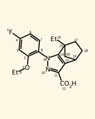 CCOc1cc(F)ccc1-n1nc(C(=O)O)c2c1C1(CC)CCC2C1